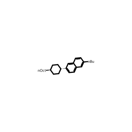 CCCCCCCC[C@H]1CC[C@H](c2ccc3cc(CCCC)ccc3c2)CC1